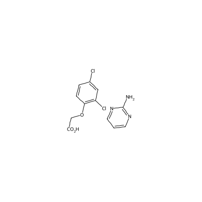 Nc1ncccn1.O=C(O)COc1ccc(Cl)cc1Cl